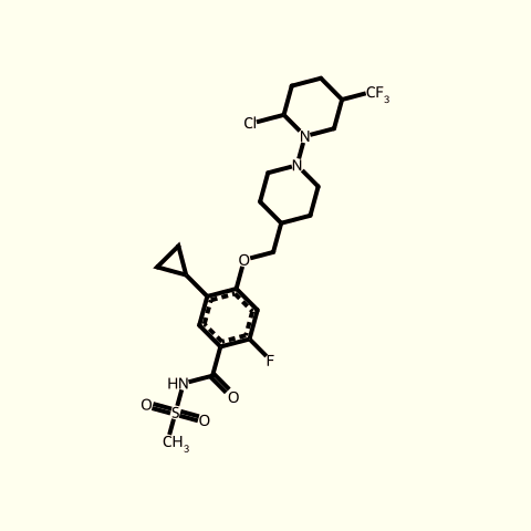 CS(=O)(=O)NC(=O)c1cc(C2CC2)c(OCC2CCN(N3CC(C(F)(F)F)CCC3Cl)CC2)cc1F